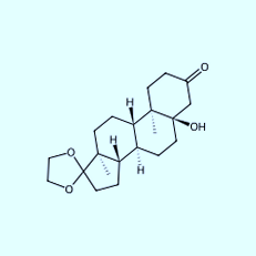 C[C@]12CC[C@H]3[C@@H](CC[C@@]4(O)CC(=O)CC[C@]34C)[C@@H]1CCC21OCCO1